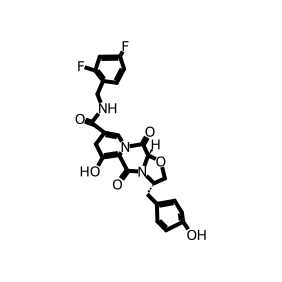 O=C(NCc1ccc(F)cc1F)C1=CN2C(=O)[C@H]3OC[C@H](Cc4ccc(O)cc4)N3C(=O)C2=C(O)C1